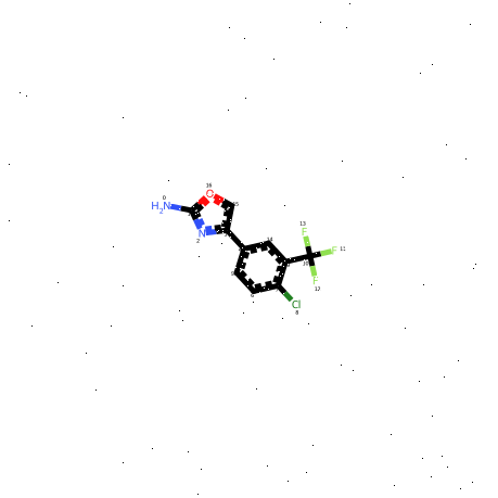 Nc1nc(-c2ccc(Cl)c(C(F)(F)F)c2)co1